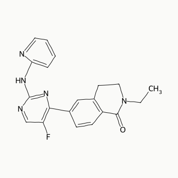 CCN1CCc2cc(-c3nc(Nc4ccccn4)ncc3F)ccc2C1=O